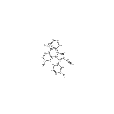 COc1ncc(Cl)cc1-n1c(-c2ccccc2)nc(C#N)c1-c1cccc(Cl)c1